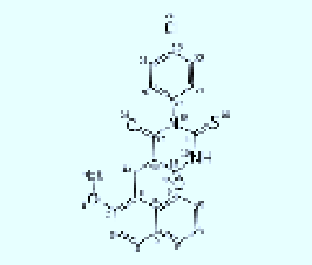 CCOc1ccc2ccccc2c1CC1C(=O)NC(=S)N(c2ccc(Cl)cc2)C1=O